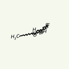 CCCCCCCCCCCCNC(=O)c1ccc(CC([NH])c2ccc(C(F)(F)F)cc2)c(Br)c1